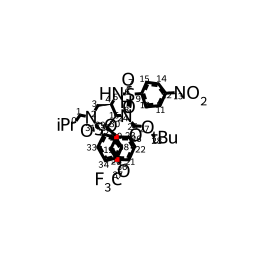 CC(C)CN(C[C@@H](NS(=O)(=O)c1ccc([N+](=O)[O-])cc1)[C@H](Cc1ccccc1)NC(=O)OC(C)(C)C)S(=O)(=O)c1ccc(OC(F)(F)F)cc1